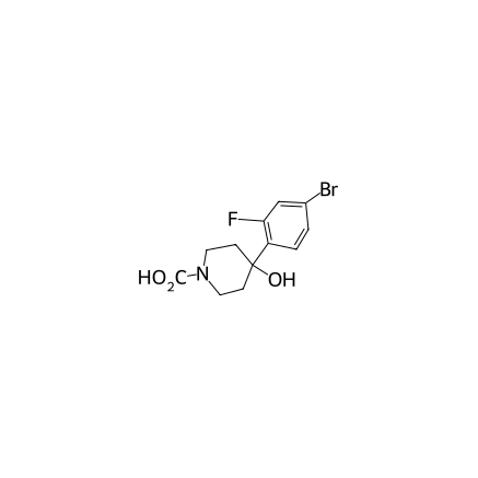 O=C(O)N1CCC(O)(c2ccc(Br)cc2F)CC1